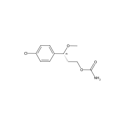 CO[C@H](CCOC(N)=O)c1ccc(Cl)cc1